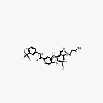 Cc1ccc(C(=O)Nc2cccc(C(F)(F)F)c2)cc1Nc1nc(Cl)nc2c1cnn2CCCO